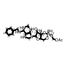 B[PH]1(OCOC(C)=O)OCC2OC(N3CNC4=C3N=CNC4NCc3ccccc3)C(O)[C@@H]2O1